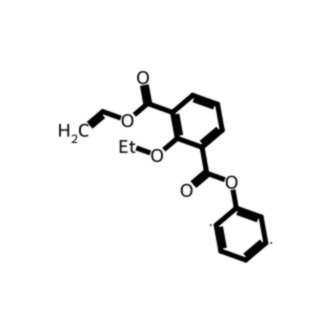 C=COC(=O)c1cccc(C(=O)Oc2[c]cc[c]c2)c1OCC